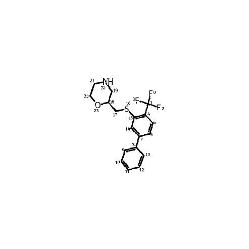 FC(F)(F)c1ccc(-c2ccccc2)cc1SC[C@@H]1CNCCO1